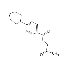 CC(=O)CCC(=O)c1ccc(C2CCCCC2)cc1